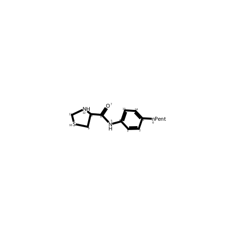 CCCCCc1ccc(NC(=O)C2CSCN2)cc1